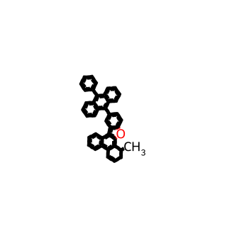 CC1CC=Cc2c1c1oc3ccc(-c4c5ccccc5c(-c5ccccc5)c5ccccc45)cc3c1c1ccccc21